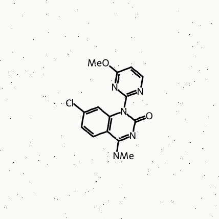 CNc1nc(=O)n(-c2nccc(OC)n2)c2cc(Cl)ccc12